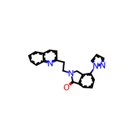 O=C1c2cccc(-n3cccn3)c2CN1CCc1ccc2ccccc2n1